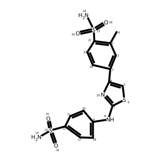 Cc1cc(-c2csc(Nc3ccc(S(N)(=O)=O)cc3)n2)ccc1S(N)(=O)=O